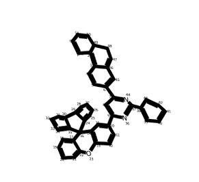 C1=CC2=c3ccc(-c4cc(-c5ccc6c(c5)C5(c7ccccc7O6)c6ccccc6-c6ccccc65)nc(-c5ccccc5)n4)cc3=CCC2C=C1